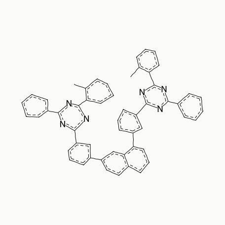 Cc1ccccc1-c1nc(-c2ccccc2)nc(-c2cccc(-c3ccc4cccc(-c5cccc(-c6nc(-c7ccccc7)nc(-c7ccccc7C)n6)c5)c4c3)c2)n1